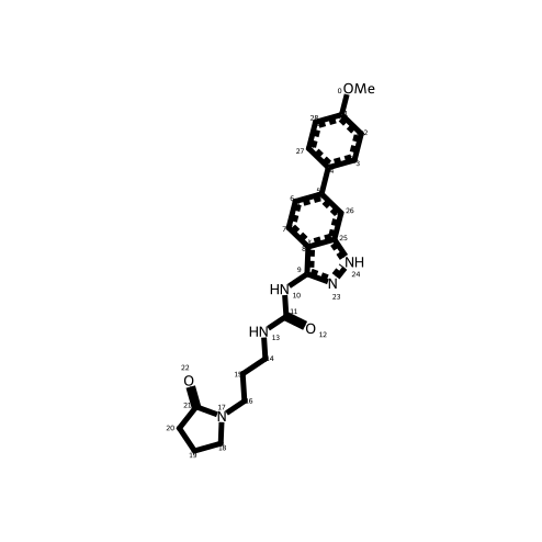 COc1ccc(-c2ccc3c(NC(=O)NCCCN4CCCC4=O)n[nH]c3c2)cc1